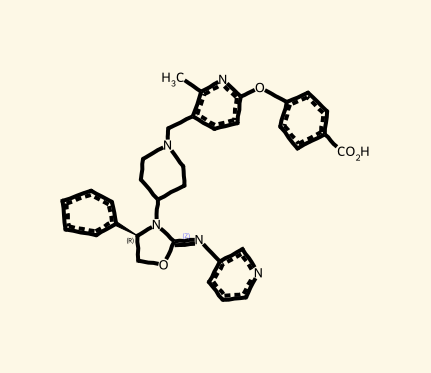 Cc1nc(Oc2ccc(C(=O)O)cc2)ccc1CN1CCC(N2/C(=N/c3cccnc3)OC[C@H]2c2ccccc2)CC1